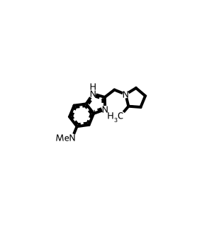 CNc1ccc2[nH]c(CN3CCCC3C)nc2c1